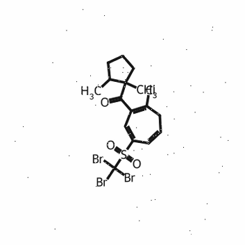 CC1CCCC1(C)C(=O)C1=C(Cl)CC=CC(S(=O)(=O)C(Br)(Br)Br)=C1